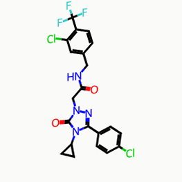 O=C(Cn1nc(-c2ccc(Cl)cc2)n(C2CC2)c1=O)NCc1ccc(C(F)(F)F)c(Cl)c1